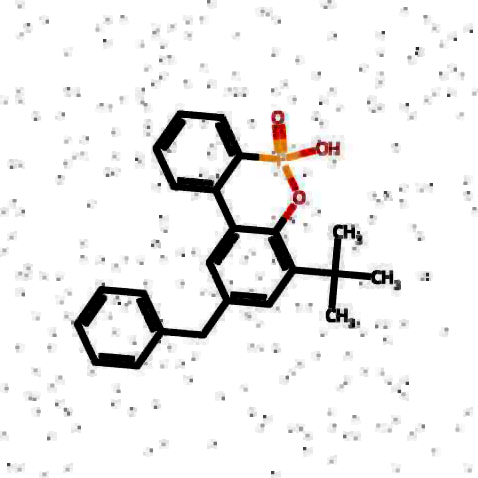 CC(C)(C)c1cc(Cc2ccccc2)cc2c1OP(=O)(O)c1ccccc1-2